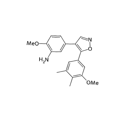 COc1ccc(-c2cnoc2-c2cc(C)c(C)c(OC)c2)cc1N